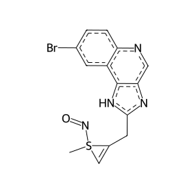 CS1(N=O)C=C1Cc1nc2cnc3ccc(Br)cc3c2[nH]1